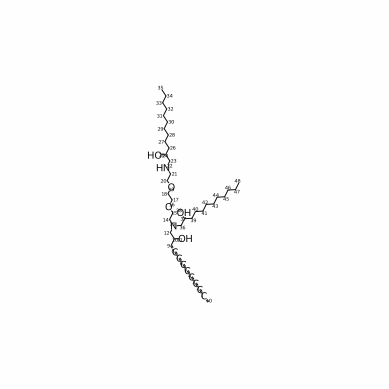 C=C=C=C=C=C=C=C=C=CC(O)CN(CCOCCOCCNCC(O)CCCCCCCCCC)CC(O)CCCCCCCCCC